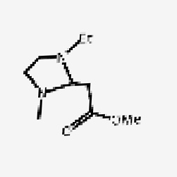 CCN1CCN(C)C1CC(=O)OC